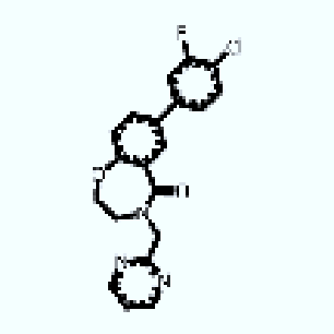 O=C1c2cc(-c3ccc(Cl)c(F)c3)ccc2OCCN1Cc1ncccn1